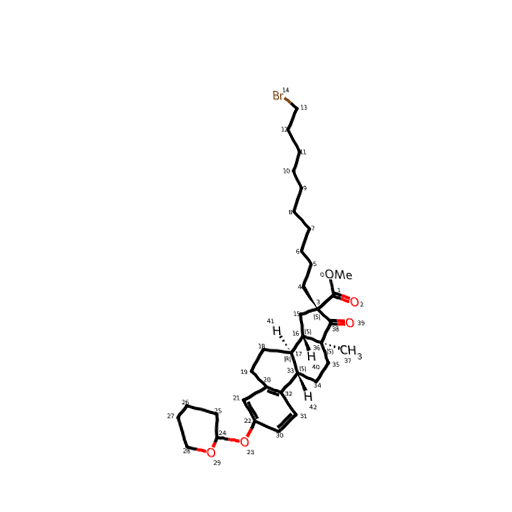 COC(=O)[C@@]1(CCCCCCCCCCBr)C[C@H]2[C@@H]3CCc4cc(OC5CCCCO5)ccc4[C@H]3CC[C@]2(C)C1=O